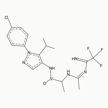 C/C(=N/C(=N)C(F)(F)F)NC(C)[S+]([O-])Nc1cnn(-c2ccc(Cl)cc2)c1C(C)C